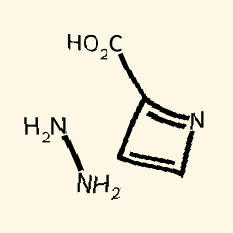 NN.O=C(O)C1=NC=C1